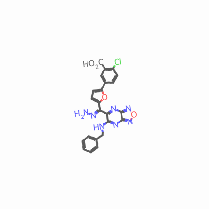 N/N=C(\c1ccc(-c2ccc(Cl)c(C(=O)O)c2)o1)c1nc2nonc2nc1NCc1ccccc1